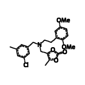 COc1ccc(OC)c(CCN(Cc2cc(C)cc(Cl)c2)Cc2oc(=O)oc2C)c1